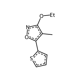 CCOc1noc(-c2cccs2)c1C